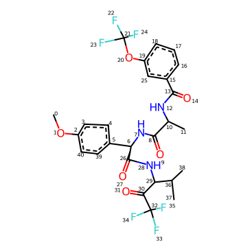 COc1ccc(C(NC(=O)C(C)NC(=O)c2cccc(OC(F)(F)F)c2)C(=O)NC(C(=O)C(F)(F)F)C(C)C)cc1